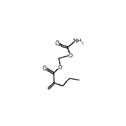 C=C(CCC)C(=O)OCOC(N)=O